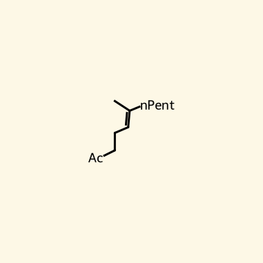 CCCCCC(C)=CCCC(C)=O